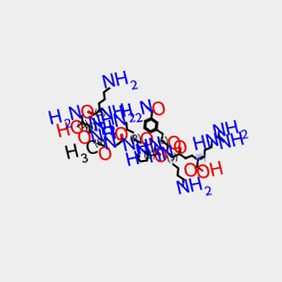 C[C@H](NC(=O)[C@@H](NC(=O)[C@@H](N)CCCCN)[C@@H](O)CN)C(=O)NCC(=O)N[C@H](CCCN)C(=O)N1CCC[C@H]1C(=O)N[C@@H](Cc1cccc(C(N)=O)c1)C(=O)N[C@@H](CCCCN)C(=O)CC/C(=C\CCNC(=N)N)C(=O)O